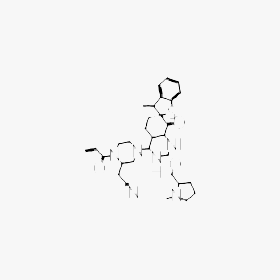 C=CC(=O)N1CCN(C2NC(OCC3CCCN3C)NC3C(=O)[C@@]4(CCC32)Sc2ccccc2C4C)CC1CC#N